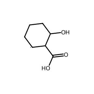 O=C(O)C1[CH]CCCC1O